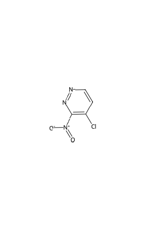 O=[N+]([O-])c1nnccc1Cl